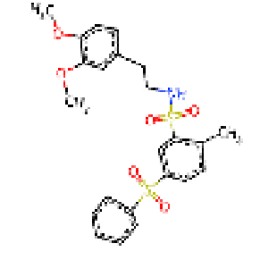 COc1ccc(CCNS(=O)(=O)c2cc(S(=O)(=O)c3ccccc3)ccc2C)cc1OC